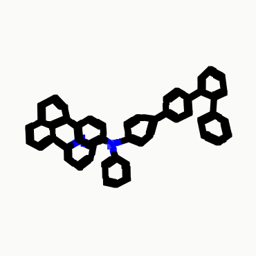 c1ccc(-c2ccccc2-c2ccc(-c3ccc(N(c4ccccc4)c4ccc(-c5cccc6cccc(-c7ccccn7)c56)cc4)cc3)cc2)cc1